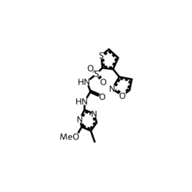 COc1nc(NC(=O)NS(=O)(=O)c2sccc2-c2ccon2)ncc1C